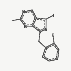 Cc1ncc2c(I)nn(Cc3ccccc3F)c2n1